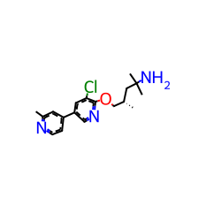 Cc1cc(-c2cnc(OC[C@@H](C)CC(C)(C)N)c(Cl)c2)ccn1